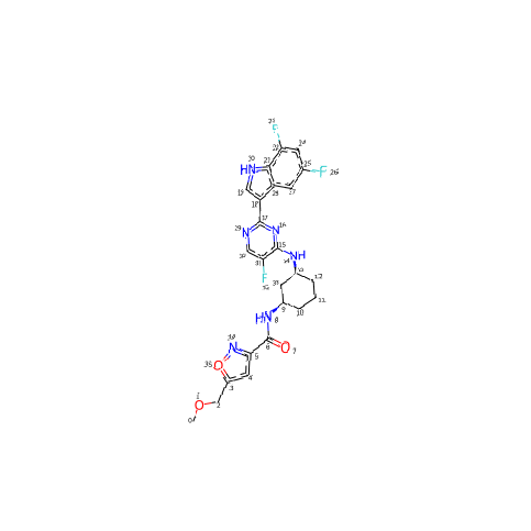 COCc1cc(C(=O)N[C@@H]2CCC[C@H](Nc3nc(-c4c[nH]c5c(F)cc(F)cc45)ncc3F)C2)no1